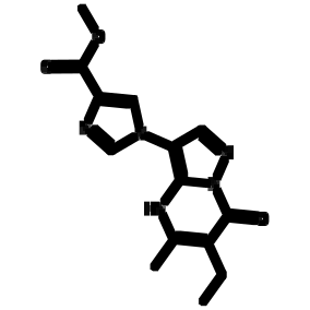 CCc1c(C)[nH]c2c(-n3cnc(C(=O)OC)c3)cnn2c1=O